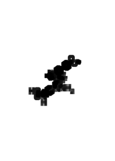 CCOC(=O)c1ccc(-c2ccc(-n3ccc(C)n3)c([C@@H](Oc3cc(N4CCC5(CC4)CN[C@H](C(=O)O)C5)nc(N)n3)C(F)(F)F)c2)cc1